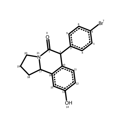 O=C1C(c2ccc(Br)cc2)c2ccc(O)cc2C2CCCN12